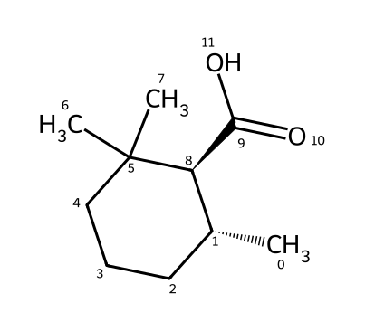 C[C@@H]1CCCC(C)(C)[C@H]1C(=O)O